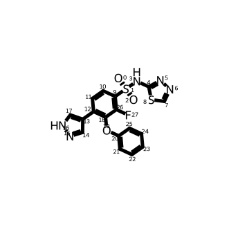 O=S(=O)(Nc1nncs1)c1ccc(-c2cn[nH]c2)c(Oc2ccccc2)c1F